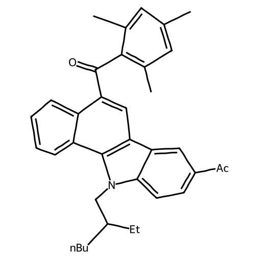 CCCCC(CC)Cn1c2ccc(C(C)=O)cc2c2cc(C(=O)c3c(C)cc(C)cc3C)c3ccccc3c21